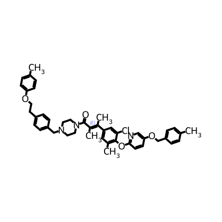 C/C(C(=O)N1CCN(Cc2ccc(CCOc3ccc(C)cc3)cc2)CC1)=C(/C)c1cc(C)c(Oc2ccc(OCc3ccc(C)cc3)cn2)c(Cl)c1